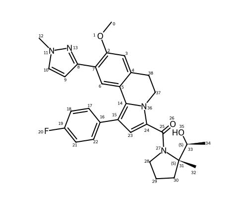 COc1cc2c(cc1-c1ccn(C)n1)-c1c(-c3ccc(F)cc3)cc(C(=O)N3CCC[C@@]3(C)[C@H](C)O)n1CC2